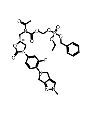 CCOP(=O)(OCOC(=O)N(C[C@H]1CN(c2ccc(N3Cc4cn(C)nc4C3)c(F)c2)C(=O)O1)C(C)=O)OCc1ccccc1